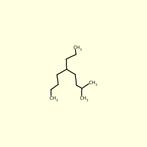 CC[CH]C(CCCC)CCC(C)C